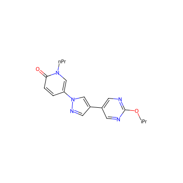 CCCn1cc(-n2cc(-c3cnc(OC(C)C)nc3)cn2)ccc1=O